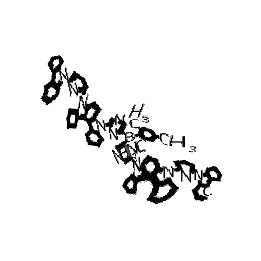 Cc1cc(C)c(B(c2cncc(-n3c4ccccc4c4c5c6ccccc6n(-c6cccc(-n7c8ccccc8c8ccccc87)n6)c5ccc43)n2)c2cncc(-n3c4ccccc4c4c5c6ccccc6n(-c6cccc(-n7c8ccccc8c8ccccc87)n6)c5ccc43)n2)c(C)c1